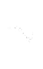 C[C@H](C(=O)O)C(c1ccc2c(c1F)OC1(CC2)CCN([C@H](C)c2cc(C(F)(F)F)ccc2C(F)(F)F)CC1)C1CC1